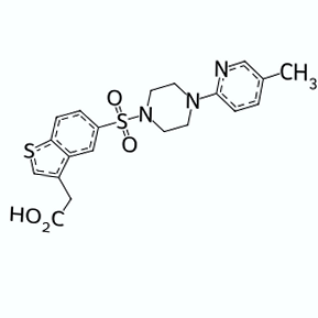 Cc1ccc(N2CCN(S(=O)(=O)c3ccc4scc(CC(=O)O)c4c3)CC2)nc1